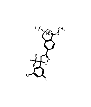 COC(=O)c1ccc(C2=NOC(c3cc(Cl)cc(Cl)c3)(C(F)(F)F)C2)cc1CN(C)C